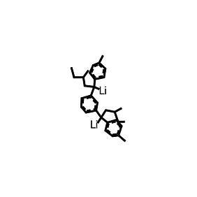 [Li][C](CC(C)CC)(c1ccc(C)cc1)c1cccc([C]([Li])(CC(C)CC)c2ccc(C)cc2)c1